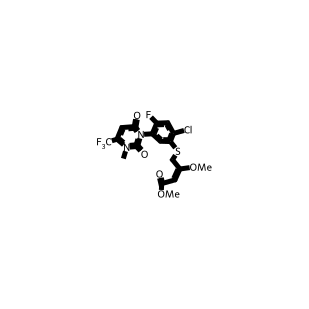 COC(=O)/C=C(\CSc1cc(-n2c(=O)cc(C(F)(F)F)n(C)c2=O)c(F)cc1Cl)OC